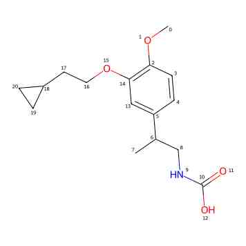 COc1ccc(C(C)CNC(=O)O)cc1OCCC1CC1